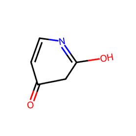 O=C1C=CN=C(O)C1